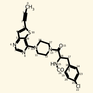 CC#Cc1cc2ncnc(N3CCN(C(=O)C(Cc4ccc(Cl)cc4)NC(=O)O)CC3)c2s1